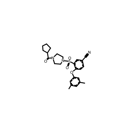 Cc1cc(C)cc(Oc2ccc(C#N)cc2S(=O)(=O)N2CCN(C(=O)C3CCCC3)CC2)c1